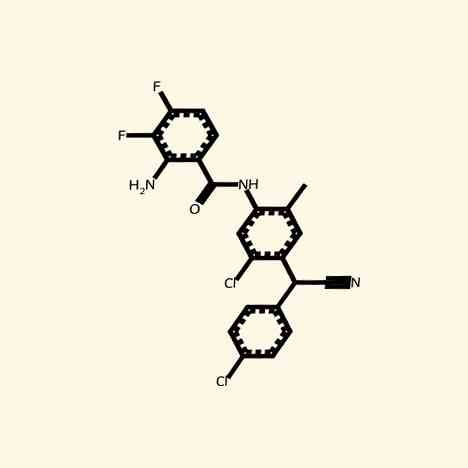 Cc1cc(C(C#N)c2ccc(Cl)cc2)c(Cl)cc1NC(=O)c1ccc(F)c(F)c1N